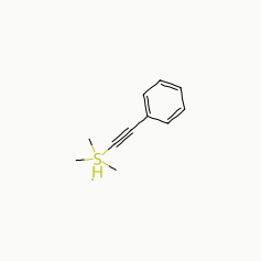 C[SH](C)(C)(C)C#Cc1ccccc1